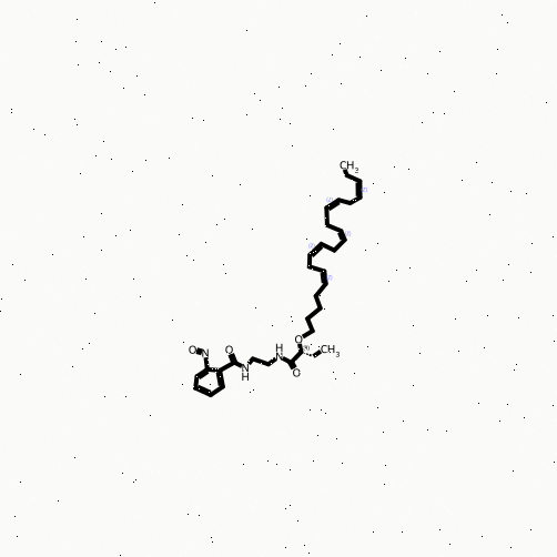 CC/C=C\C/C=C\C/C=C\C/C=C\C/C=C\CCCCO[C@H](CC)C(=O)NCCNC(=O)c1ccccc1N=O